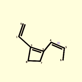 C=CC1=C(/C=C\C)CC1